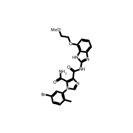 COCCOc1cccc2nc(NC(=O)c3ncn(-c4cc(Br)ccc4C)c3C(N)=O)[nH]c12